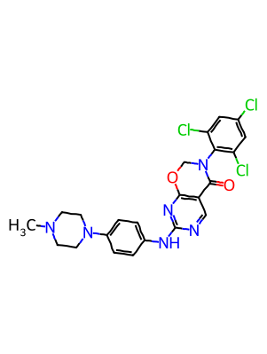 CN1CCN(c2ccc(Nc3ncc4c(n3)OCN(c3c(Cl)cc(Cl)cc3Cl)C4=O)cc2)CC1